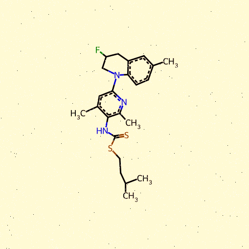 Cc1ccc2c(c1)CC(F)CN2c1cc(C)c(NC(=S)SCCC(C)C)c(C)n1